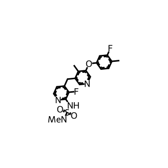 CNS(=O)(=O)Nc1nccc(Cc2cncc(Oc3ccc(C)c(F)c3)c2C)c1F